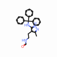 Cc1n[nH]c(NC(c2ccccc2)(c2ccccc2)c2ccccc2)c1CCNC=O